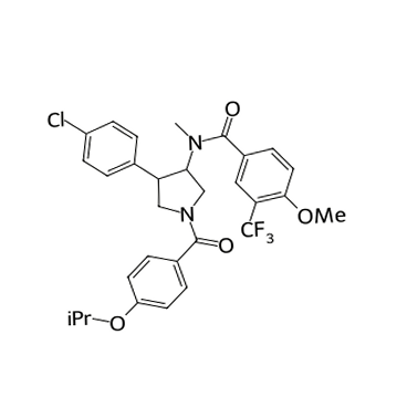 COc1ccc(C(=O)N(C)C2CN(C(=O)c3ccc(OC(C)C)cc3)CC2c2ccc(Cl)cc2)cc1C(F)(F)F